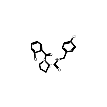 O=C(NCc1ccc(Cl)cc1)[C@@H]1CCCN1C(=O)c1ccccc1Cl